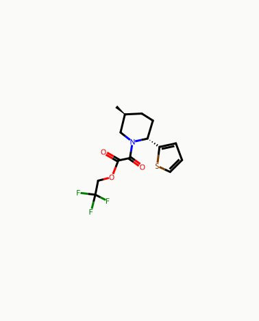 C[C@H]1CC[C@H](c2cccs2)N(C(=O)C(=O)OCC(F)(F)F)C1